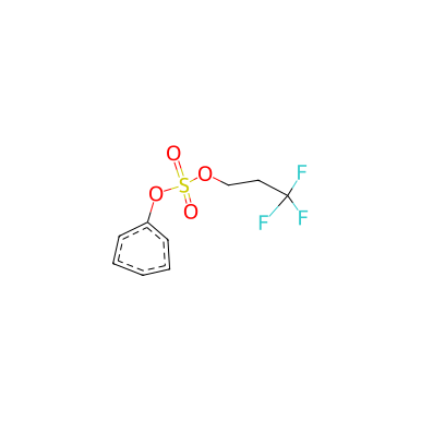 O=S(=O)(OCCC(F)(F)F)Oc1ccccc1